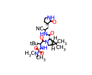 CN(C)S(=O)(=O)NC(C(=O)N1C[C@H]2[C@@H]([C@H]1C(=O)NC(C#N)C[C@@H]1CCNC1=O)C2(C)C)C(C)(C)C